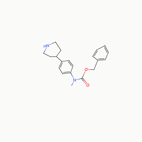 CN(C(=O)OCc1ccccc1)c1ccc(C2CCNCC2)cc1